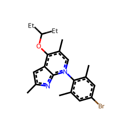 CCC(CC)Oc1c(C)cn(-c2c(C)cc(Br)cc2C)c2nc(C)cc1-2